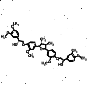 COc1ccc([C@@H](O)COc2ccc(C3OC(c4ccc(OC[C@H](O)c5ccc(OC)c(OC)c5)c(OC)c4)[C@H](C)[C@H]3C)cc2OC)cc1C